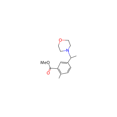 COC(=O)c1cc(C(C)N2CCOCC2)ccc1C